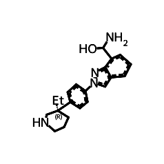 CC[C@]1(c2ccc(-n3cc4cccc(C(N)O)c4n3)cc2)CCCNC1